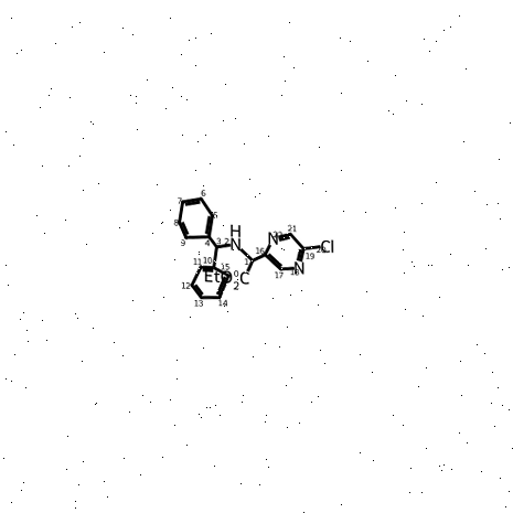 CCOC(=O)C(NC(c1ccccc1)c1ccccc1)c1cnc(Cl)cn1